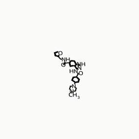 CN1CCN(c2ccc(C(=O)Nc3n[nH]c4ccc(C(=O)NCc5ccco5)cc34)cc2)CC1